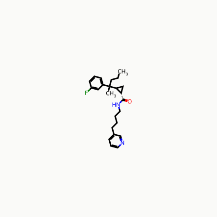 CCCC(C)(c1cccc(F)c1)C1C[C@@H]1C(=O)NCCCCc1cccnc1